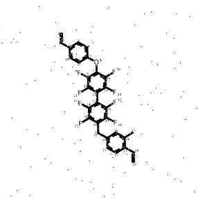 C=Cc1ccc(Oc2c(F)c(F)c(-c3c(F)c(F)c(Cc4ccc(C=C)c(C)c4)c(F)c3F)c(F)c2F)cc1